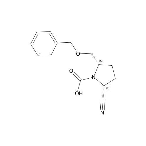 N#C[C@H]1CC[C@@H](COCc2ccccc2)N1C(=O)O